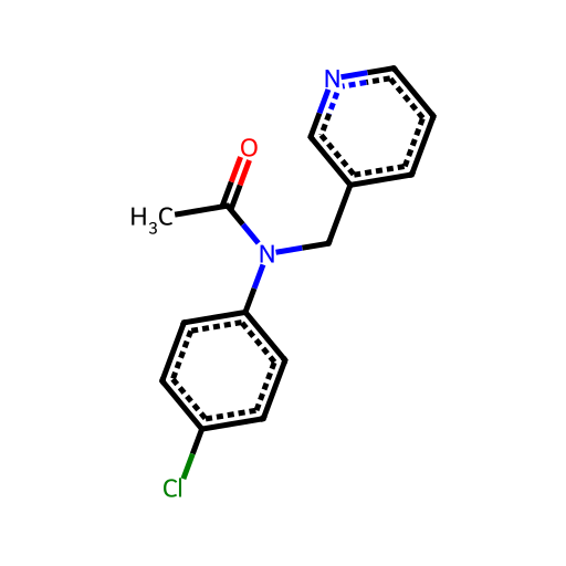 CC(=O)N(Cc1cccnc1)c1ccc(Cl)cc1